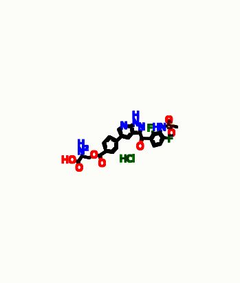 CS(=O)(=O)Nc1c(F)ccc(C(=O)c2n[nH]c3ncc(-c4ccc(C(=O)OCC(N)C(=O)O)cc4)cc23)c1F.Cl